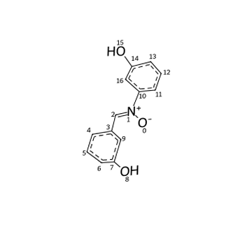 [O-][N+](=Cc1cccc(O)c1)c1cccc(O)c1